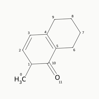 CC1C=CC2=C(CCCC2)C1=O